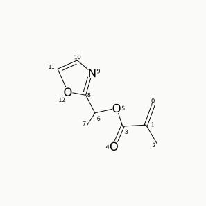 C=C(C)C(=O)OC(C)c1ncco1